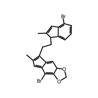 CC1=Cc2c(Br)cccc2C1CCC1=C(C)C=C2C1=CC1OCOC1=C2Br